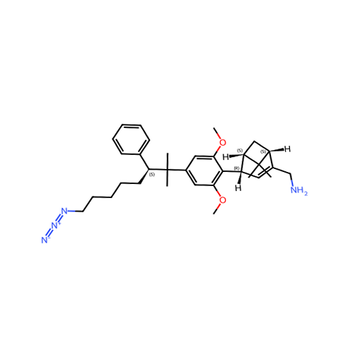 COc1cc(C(C)(C)[C@@H](CCCCCN=[N+]=[N-])c2ccccc2)cc(OC)c1[C@H]1C=C(CN)[C@H]2C[C@@H]1C2(C)C